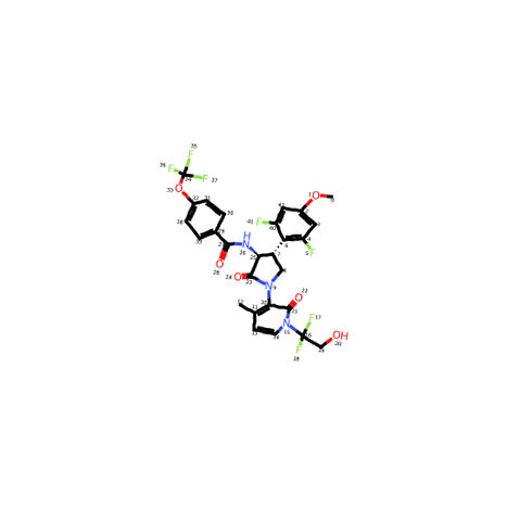 COc1cc(F)c([C@@H]2CN(c3c(C)ccn(C(F)(F)CO)c3=O)C(=O)[C@H]2NC(=O)c2ccc(OC(F)(F)F)cc2)c(F)c1